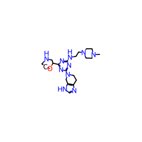 CN1CCN(CCNc2nc(C3CNCCO3)nc(N3CCc4nc[nH]c4C3)n2)CC1